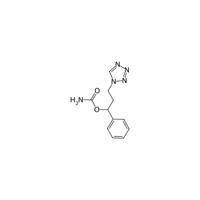 NC(=O)OC(CCn1cnnn1)c1ccccc1